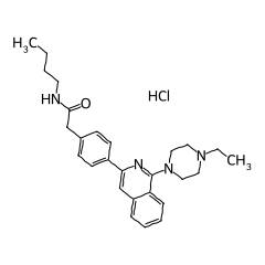 CCCCNC(=O)Cc1ccc(-c2cc3ccccc3c(N3CCN(CC)CC3)n2)cc1.Cl